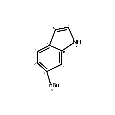 [CH2]CCCc1ccc2cc[nH]c2c1